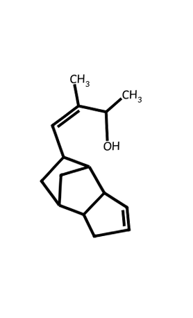 CC(=CC1CC2CC1C1C=CCC21)C(C)O